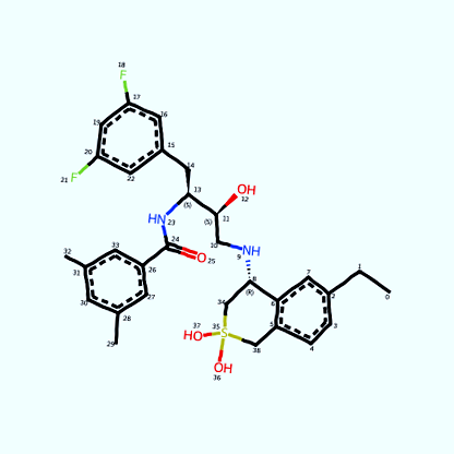 CCc1ccc2c(c1)[C@@H](NC[C@H](O)[C@H](Cc1cc(F)cc(F)c1)NC(=O)c1cc(C)cc(C)c1)CS(O)(O)C2